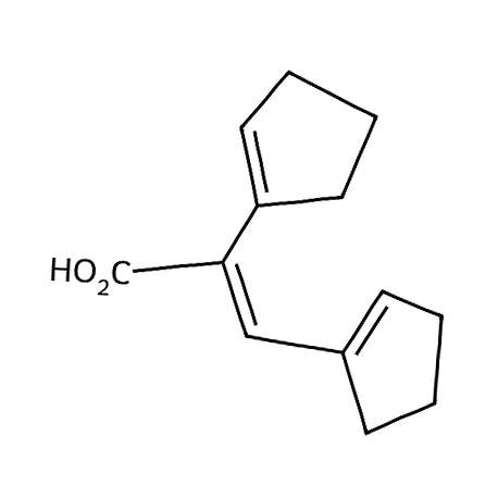 O=C(O)C(=CC1=CCCC1)C1=CCCC1